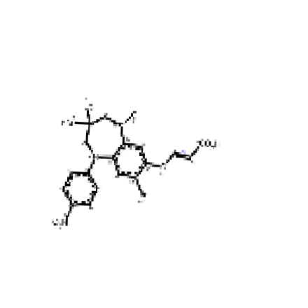 CCCCC1(CC)CN(c2ccc([N+](=O)[O-])cc2)c2cc(Br)c(O/C=C/C(=O)O)cc2[S+]([O-])C1